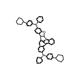 c1ccc(N(c2ccc(C3CCCCC3)cc2)c2ccc3c(c2)OC2C3c3cc4ccc(N(c5ccccc5)c5ccc(C6CCCCC6)cc5)cc4c4c5ccccc5n2c34)cc1